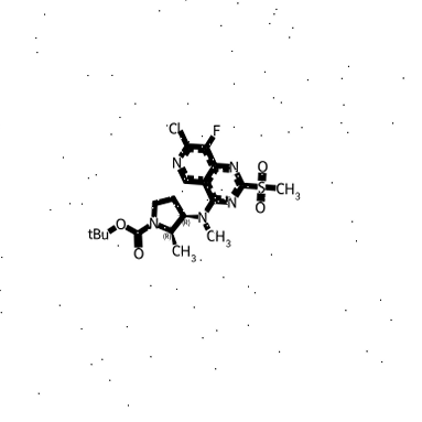 C[C@@H]1[C@H](N(C)c2nc(S(C)(=O)=O)nc3c(F)c(Cl)ncc23)CCN1C(=O)OC(C)(C)C